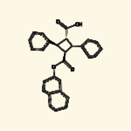 O=C(O)[C@@H]1C(c2ccccc2)[C@@H](C(=O)Oc2ccc3ccccc3c2)[C@H]1c1ccccc1